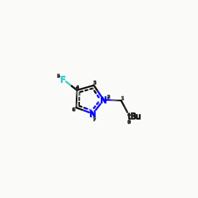 CC(C)(C)Cn1cc(F)cn1